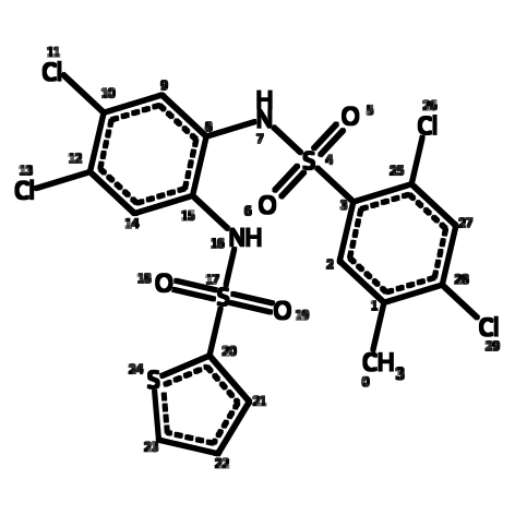 Cc1cc(S(=O)(=O)Nc2cc(Cl)c(Cl)cc2NS(=O)(=O)c2cccs2)c(Cl)cc1Cl